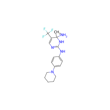 CC1(N)NC(Nc2ccc(N3CCCCC3)cc2)=NC=C1C(F)(F)F